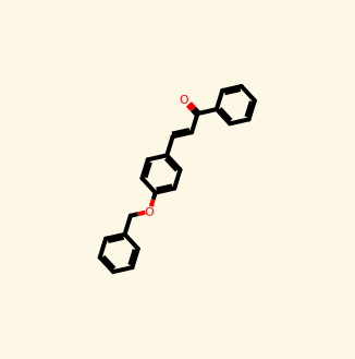 O=C(C=Cc1ccc(OCc2ccccc2)cc1)c1ccccc1